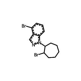 Brc1cccc2c1cnn2C1CCCCCC1Br